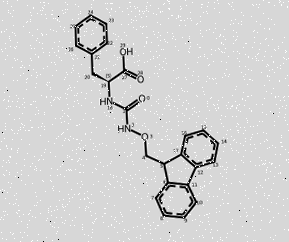 O=C(NOCC1c2ccccc2-c2ccccc21)N[C@@H](Cc1ccccc1)C(=O)O